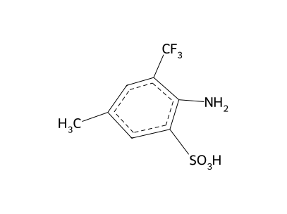 Cc1cc(C(F)(F)F)c(N)c(S(=O)(=O)O)c1